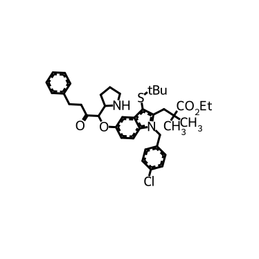 CCOC(=O)C(C)(C)Cc1c(SC(C)(C)C)c2cc(OC(C(=O)CCc3ccccc3)C3CCCN3)ccc2n1Cc1ccc(Cl)cc1